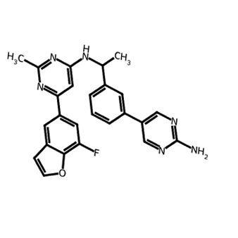 Cc1nc(NC(C)c2cccc(-c3cnc(N)nc3)c2)cc(-c2cc(F)c3occc3c2)n1